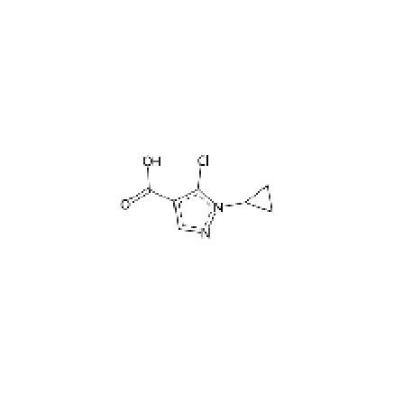 O=C(O)c1cnn(C2CC2)c1Cl